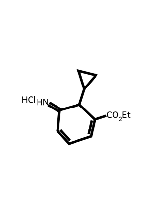 CCOC(=O)C1=CC=CC(=N)C1C1CC1.Cl